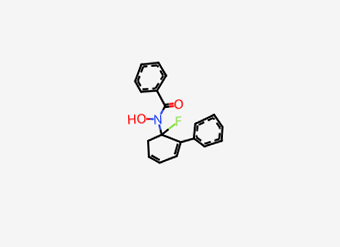 O=C(c1ccccc1)N(O)C1(F)CC=CC=C1c1ccccc1